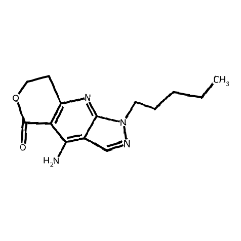 CCCCCn1ncc2c(N)c3c(nc21)CCOC3=O